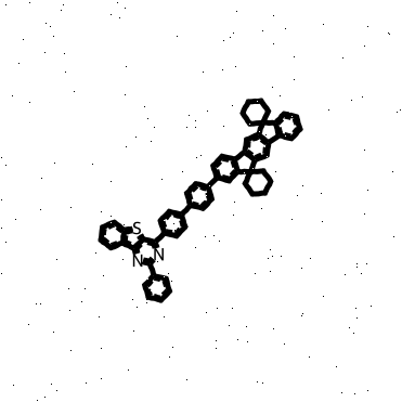 c1ccc(-c2nc(-c3ccc(-c4ccc(-c5ccc6c(c5)C5(CCCCC5)c5cc7c(cc5-6)C5(CCCCC5)c5ccccc5-7)cc4)cc3)c3sc4ccccc4c3n2)cc1